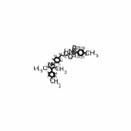 Cc1ccc(-c2c(C)nn(-c3ccc(CCOC(=O)NS(=O)(=O)c4ccc(C)cc4)cc3)c2C)cc1